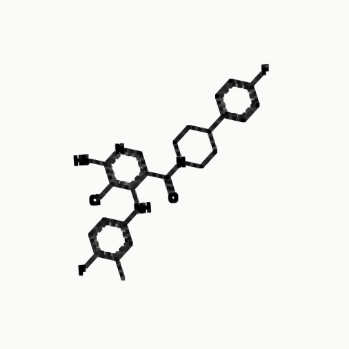 Cc1cc(Nc2c(C(=O)N3CCC(c4ccc(F)cc4)CC3)cnc(S)c2Cl)ccc1F